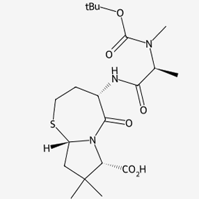 C[C@@H](C(=O)N[C@H]1CCS[C@H]2CC(C)(C)[C@@H](C(=O)O)N2C1=O)N(C)C(=O)OC(C)(C)C